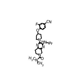 CC(C)Nc1nc2c(nc1N1CCC(Oc3ccc(C#N)cc3F)CC1)CCN(C(=O)N(C)C)C2